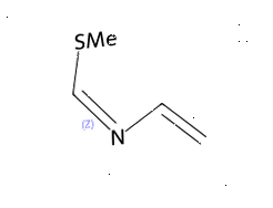 C=C/N=C\SC